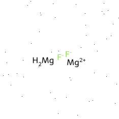 [F-].[F-].[Mg+2].[MgH2]